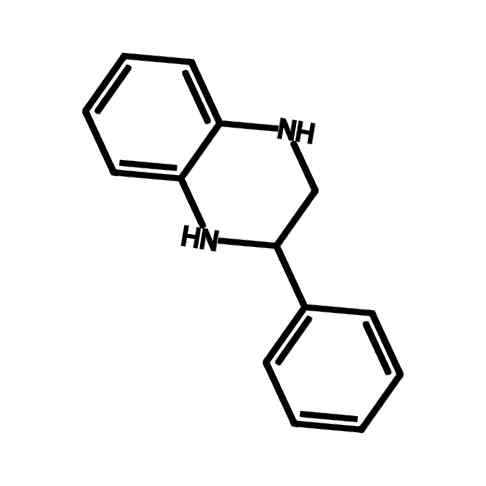 c1ccc(C2CNc3ccccc3N2)cc1